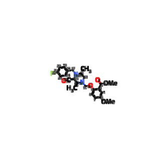 COC(=O)c1cc(OC)ccc1OCN1C[C@@H](C)N(Cc2ccc(F)cc2)C(=C=O)[C@@H]1C